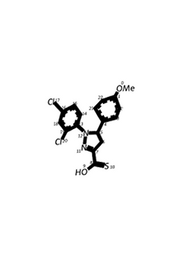 COc1ccc(C2CC(C(O)=S)=NN2c2ccc(Cl)cc2Cl)cc1